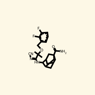 CC(C)(OCc1cccc(F)c1F)/C(=N\C#N)NC1C2CC3CC1CC(C(N)=O)(C3)C2